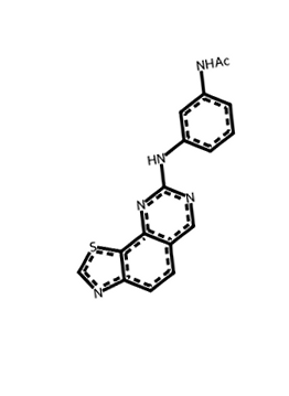 CC(=O)Nc1cccc(Nc2ncc3ccc4ncsc4c3n2)c1